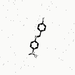 C[S+]([O-])c1ccc(N=Cc2ccc(F)cc2)cc1